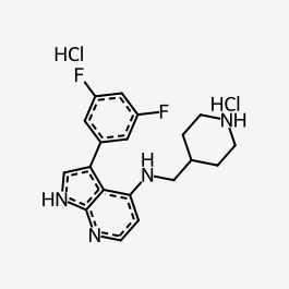 Cl.Cl.Fc1cc(F)cc(-c2c[nH]c3nccc(NCC4CCNCC4)c23)c1